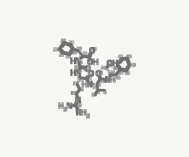 CC(C)[C@H](NC(=O)[C@H](CCCN=C(N)N)NC(=O)N[C@@H](Cc1ccccc1)C(=O)O)C(=O)N[C@H](CO)Cc1ccccc1